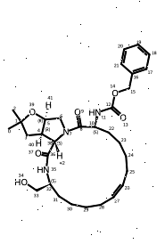 CC1(C)C[C@H]2[C@H](CN3C(=O)[C@@H](NC(=O)OCc4ccccc4)CCCCC=CCCCC[C@@H](CO)NC(=O)[C@H]23)O1